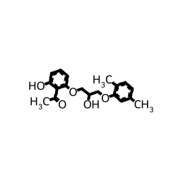 CC(=O)c1c(O)cccc1OCC(O)COc1cc(C)ccc1C